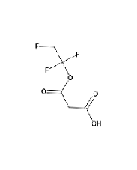 O=C(O)CC(=O)OC(F)(F)CF